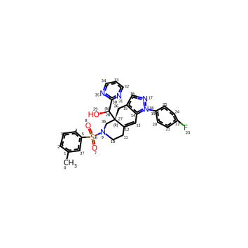 Cc1cccc(S(=O)(=O)N2CCC3=Cc4c(cnn4-c4ccc(F)cc4)C[C@]3([C@@H](O)c3ncccn3)C2)c1